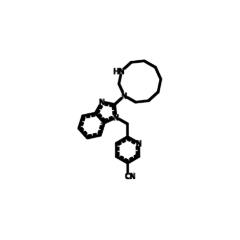 N#Cc1ccc(Cn2c(N3CCCCCCCNC3)nc3ccccc32)nc1